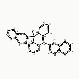 CC1(c2ccc3ccccc3c2)c2ccccc2C(c2ccc3ccccc3n2)=C2C=CC=CC21